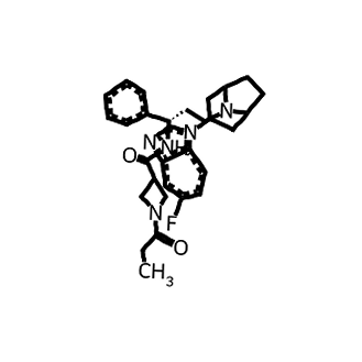 CCC(=O)N1CC(C(=O)N[C@@H](CCN2C3CCC2CC(n2cnc4cc(F)ccc42)C3)c2ccccc2)C1